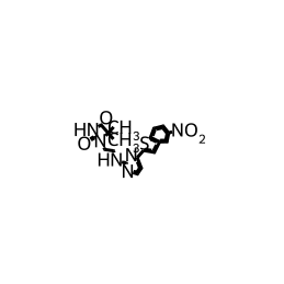 CC1(C)C(=O)NC(=O)N1CCNc1nccc(-c2cc3cc([N+](=O)[O-])ccc3s2)n1